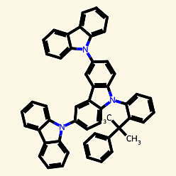 CC(C)(c1ccccc1)c1ccccc1-n1c2ccc(-n3c4ccccc4c4ccccc43)cc2c2cc(-n3c4ccccc4c4ccccc43)ccc21